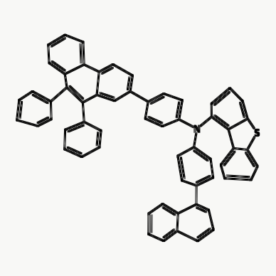 c1ccc(-c2c(-c3ccccc3)c3cc(-c4ccc(N(c5ccc(-c6cccc7ccccc67)cc5)c5cccc6sc7ccccc7c56)cc4)ccc3c3ccccc23)cc1